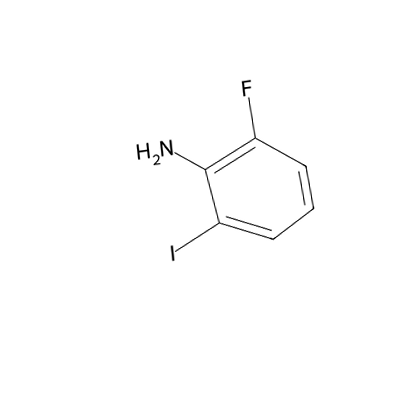 Nc1c(F)cccc1I